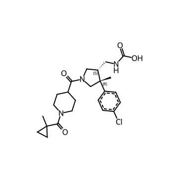 CC1(C(=O)N2CCC(C(=O)N3C[C@H](CNC(=O)O)[C@](C)(c4ccc(Cl)cc4)C3)CC2)CC1